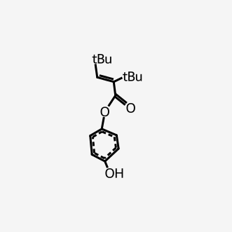 CC(C)(C)C=C(C(=O)Oc1ccc(O)cc1)C(C)(C)C